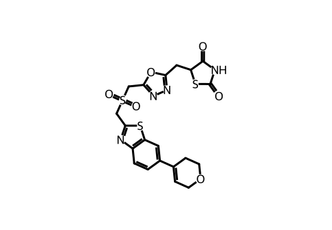 O=C1NC(=O)C(Cc2nnc(CS(=O)(=O)Cc3nc4ccc(C5=CCOCC5)cc4s3)o2)S1